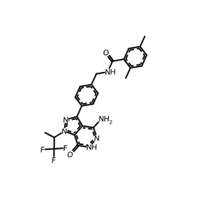 Cc1ccc(C)c(C(=O)NCc2ccc(-c3nn(C(C)C(F)(F)F)c4c(=O)[nH]nc(N)c34)cc2)c1